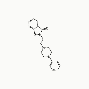 O=c1c2ccccc2sn1CCN1CCN(c2ccccc2)CC1